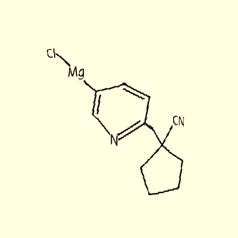 N#CC1(c2cc[c]([Mg][Cl])cn2)CCCC1